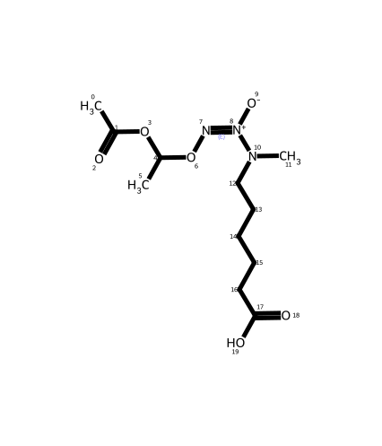 CC(=O)OC(C)O/N=[N+](/[O-])N(C)CCCCCC(=O)O